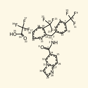 O=C(N[C@@H](c1ccc(C(F)(F)F)cc1)c1ncccc1C(F)(F)F)c1ccc2nccn2c1.O=C(O)C(F)(F)F